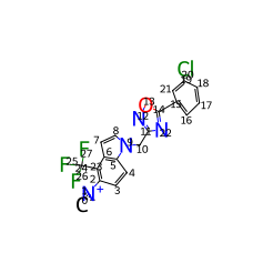 [C-]#[N+]c1ccc2c(ccn2Cc2noc(-c3cccc(Cl)c3)n2)c1C(F)(F)F